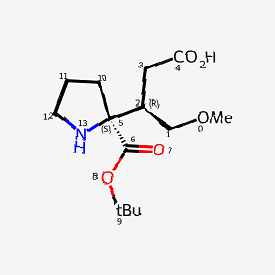 COC[C@H](CC(=O)O)[C@]1(C(=O)OC(C)(C)C)CCCN1